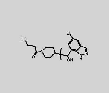 CC(C)(C1CCN(C(=O)CCO)CC1)C(O)c1cc(Cl)cc2cn[nH]c12